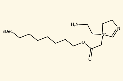 CCCCCCCCCCCCCCCCCOC(=O)C[N+]1(CCN)C=NCC1